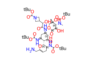 CN(C(=O)OC(C)(C)C)[C@@H]1[C@@H](O)[C@@H](O[C@H]2[C@H](NC(=O)C(O)C3CN(C(=O)OC(C)(C)C)C3)C[C@H](NC(=O)OC(C)(C)C)C([C@H]3OC(CN)=CC[C@H]3NC(=O)OC(C)(C)C)[C@@H]2O)OC[C@]1(C)O